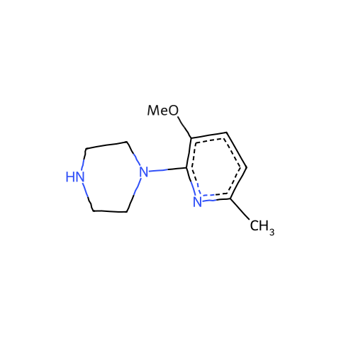 COc1ccc(C)nc1N1CCNCC1